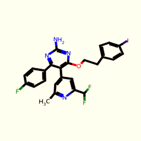 Cc1cc(-c2c(OCCc3ccc(I)cc3)nc(N)nc2-c2ccc(F)cc2)cc(C(F)F)n1